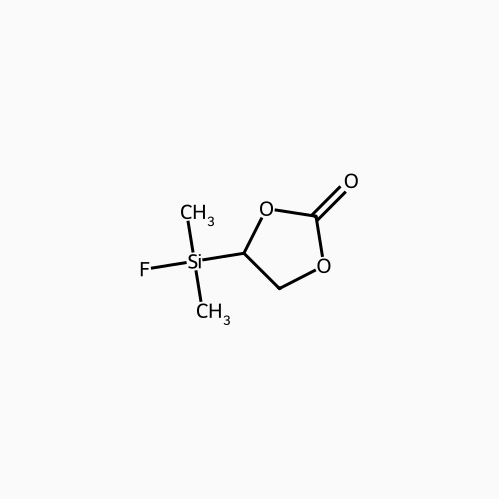 C[Si](C)(F)C1COC(=O)O1